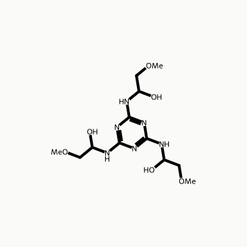 COCC(O)Nc1nc(NC(O)COC)nc(NC(O)COC)n1